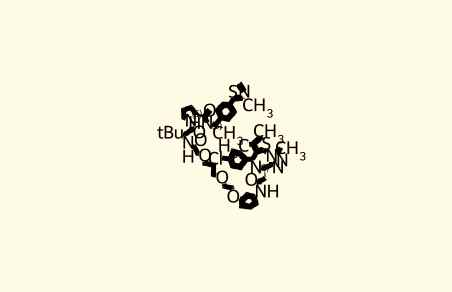 Cc1ncsc1-c1ccc([C@H](C)NC(=O)[C@@H]2CCCN2C(=O)C(NC(=O)COCCCOCCOc2cccc(NC(=O)C[C@@H]3N=C(c4ccc(Cl)cc4)c4c(sc(C)c4C)-n4c(C)nnc43)c2)C(C)(C)C)cc1